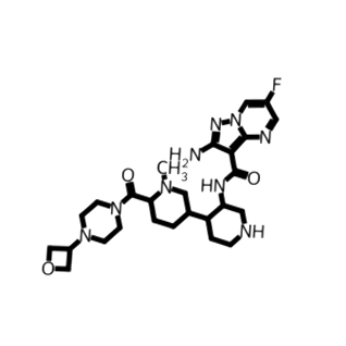 CN1CC(C2CCNCC2NC(=O)c2c(N)nn3cc(F)cnc23)CCC1C(=O)N1CCN(C2COC2)CC1